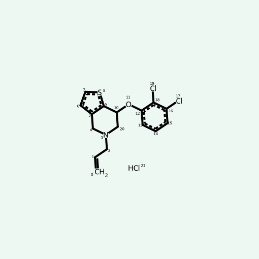 C=CCN1Cc2ccsc2C(Oc2cccc(Cl)c2Cl)C1.Cl